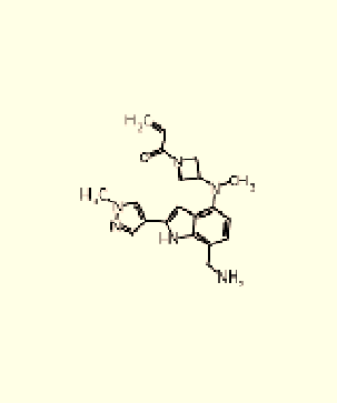 C=CC(=O)N1CC(N(C)c2ccc(CN)c3[nH]c(-c4cnn(C)c4)cc23)C1